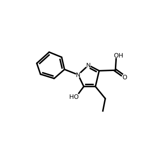 CCc1c(C(=O)O)nn(-c2ccccc2)c1O